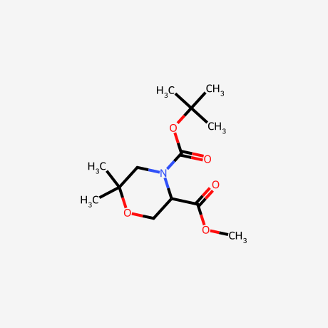 COC(=O)C1COC(C)(C)CN1C(=O)OC(C)(C)C